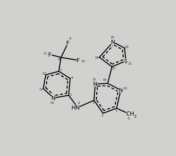 Cc1cc(Nc2cc(C(F)(F)F)ccn2)nc(-c2cncs2)n1